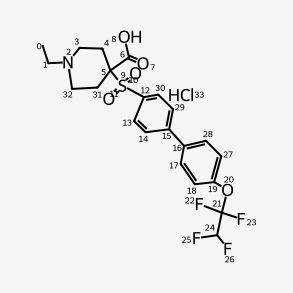 CCN1CCC(C(=O)O)(S(=O)(=O)c2ccc(-c3ccc(OC(F)(F)C(F)F)cc3)cc2)CC1.Cl